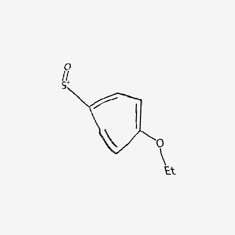 CCOc1ccc([S+]=O)cc1